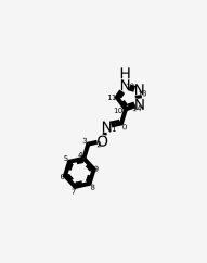 C(=NOCc1ccccc1)c1c[nH]nn1